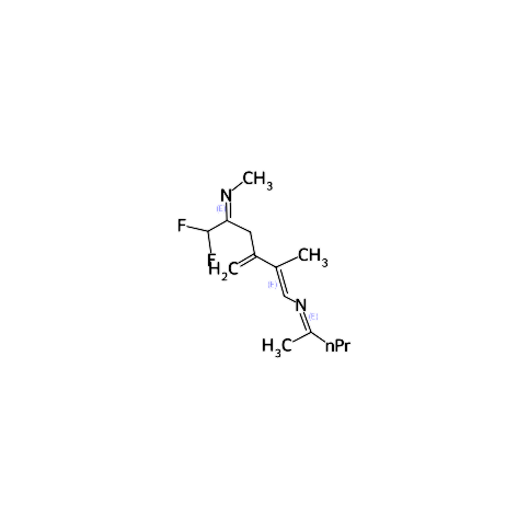 C=C(C/C(=N\C)C(F)F)/C(C)=C/N=C(\C)CCC